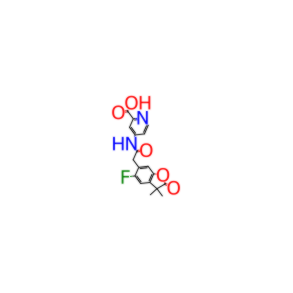 CC1(C)C(=O)Oc2cc(CC(=O)Nc3ccnc(C(=O)O)c3)c(F)cc21